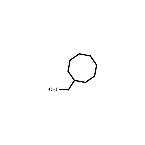 O=[C]CC1CCCCCCC1